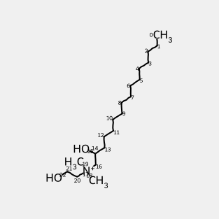 CCCCCCCCCCCCCCC(O)C[N+](C)(C)CCO